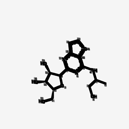 CC(CO)Nc1nc(C2O[C@H](CO)[C@@H](O)[C@H]2O)nc2ccoc12